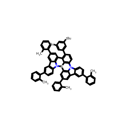 Cc1ccccc1-c1ccc2c(c1)c1cc(-c3ccccc3C)cc3c1n2B1c2c(ccc(-c4cc(C(C)(C)C)cc(C(C)(C)C)c4)c2-3)-n2c3ccc(-c4ccccc4C)cc3c3cc(-c4ccccc4C)cc1c32